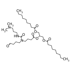 CCCCCCCCC(=O)OCC(COC(=O)CCCCCCCC)OC(=O)CCCN(CCCC=O)C(=O)NCCCN(C)C